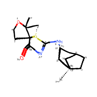 CC1(C)OCCC12SC(N[C@H]1C[C@@H]3CCC1C3)=NC2=O